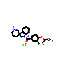 CC(C)Oc1ccc(C(=O)NCC2(c3ccccc3)CCCNC2)cc1.Cl